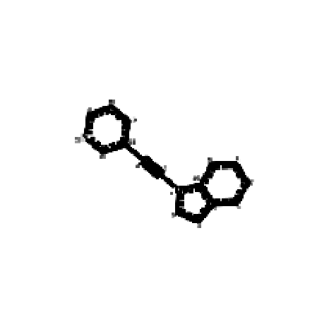 C(#Cn1ccc2ccccc21)c1cccnc1